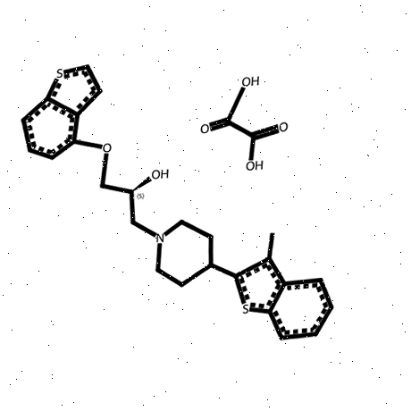 Cc1c(C2CCN(C[C@H](O)COc3cccc4sccc34)CC2)sc2ccccc12.O=C(O)C(=O)O